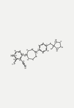 CC1(Cc2ccc(N3CCCN(c4cc[nH]c(=S)c4C#N)CC3)cc2)OCCO1